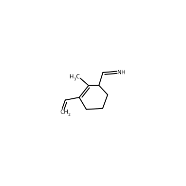 C=CC1=C(C)C(C=N)CCC1